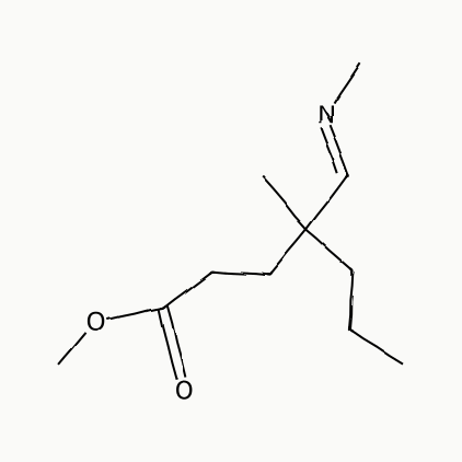 CCCC(C)(C=NC)CCC(=O)OC